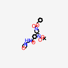 CC(C)(C)OC(=O)N1CC2(CCN(C(=O)OCc3ccccc3)CC2)c2ccc(C(=O)NCCN3CCOCC3)cc21